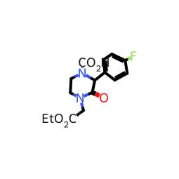 CCOC(=O)CN1CCN(C(=O)O)C(c2ccc(F)cc2)C1=O